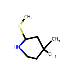 CSC1CC(C)(C)CCN1